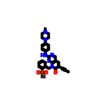 CC#Cc1cc2cnc(Nc3ccc(N4CCN(C)CC4)cc3)nc2n(Cc2ccccc2S(=O)(=O)CC)c1=O